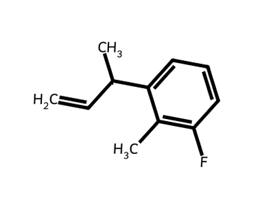 C=C[C](C)c1cccc(F)c1C